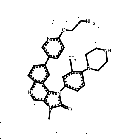 Cn1c(=O)n(-c2ccc(N3CCNCC3)c(C(F)(F)F)c2)c2c3cc(-c4ccc(OCCN)nc4)ccc3ncc21